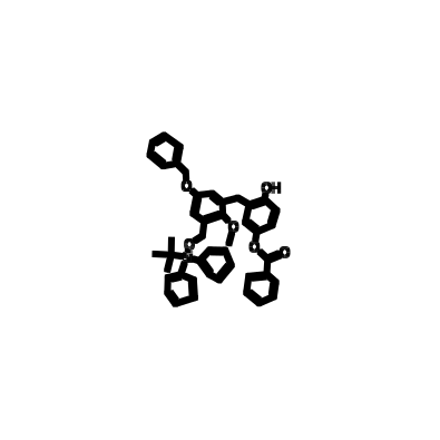 COc1c(CO[Si](c2ccccc2)(c2ccccc2)C(C)(C)C)cc(OCc2ccccc2)cc1Cc1cc(OC(=O)c2ccccc2)ccc1O